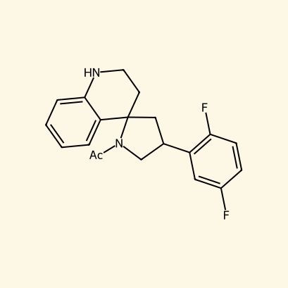 CC(=O)N1CC(c2cc(F)ccc2F)CC12CCNc1ccccc12